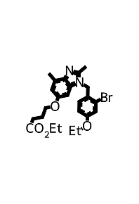 CCOC(=O)CCCOc1cc(C)c2nc(C)n(Cc3ccc(OCC)cc3Br)c2c1